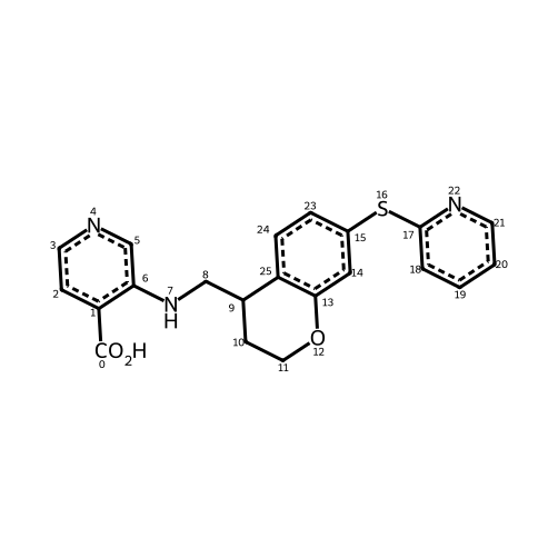 O=C(O)c1ccncc1NCC1CCOc2cc(Sc3ccccn3)ccc21